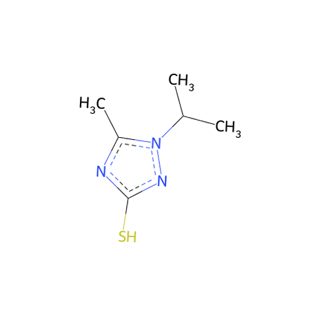 Cc1nc(S)nn1C(C)C